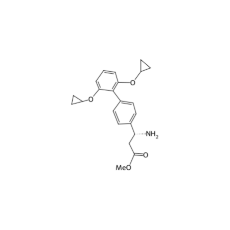 COC(=O)C[C@@H](N)c1ccc(-c2c(OC3CC3)cccc2OC2CC2)cc1